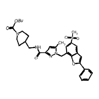 Cc1cc(C(=O)NCC2CCN(C(=O)OCC(C)C)CC2)nn1Cc1cc(S(C)(=O)=O)cc2cc(-c3ccccc3)oc12